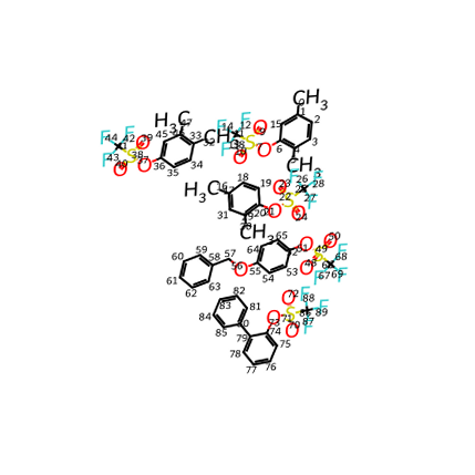 Cc1ccc(C)c(OS(=O)(=O)C(F)(F)F)c1.Cc1ccc(OS(=O)(=O)C(F)(F)F)c(C)c1.Cc1ccc(OS(=O)(=O)C(F)(F)F)cc1C.O=S(=O)(Oc1ccc(OCc2ccccc2)cc1)C(F)(F)F.O=S(=O)(Oc1ccccc1-c1ccccc1)C(F)(F)F